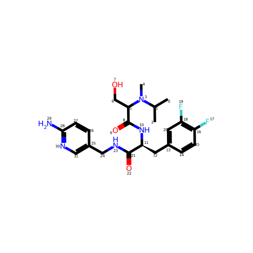 CC(C)N(C)C(CO)C(=O)N[C@@H](Cc1ccc(F)c(F)c1)C(=O)NCc1ccc(N)nc1